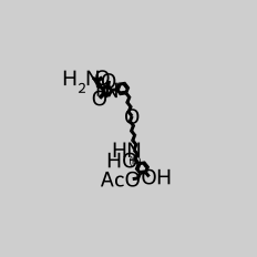 CC(=O)OCc1cc([C@@H](O)CNCCCCCCOCCCCc2cccc(N3CC(=O)N(CC(N)=O)C3=O)c2)ccc1O